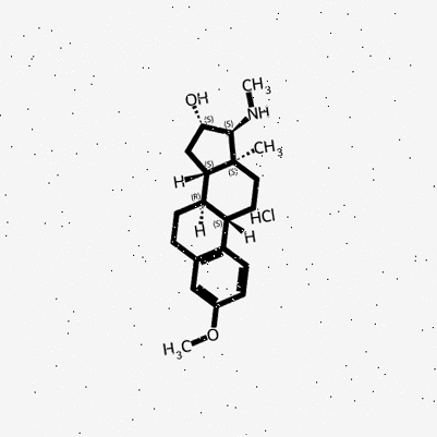 CN[C@@H]1[C@@H](O)C[C@H]2[C@@H]3CCc4cc(OC)ccc4[C@H]3CC[C@]12C.Cl